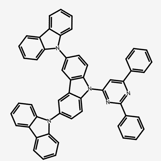 c1ccc(-c2cc(-n3c4ccc(-n5c6ccccc6c6ccccc65)cc4c4cc(-n5c6ccccc6c6ccccc65)ccc43)nc(-c3ccccc3)n2)cc1